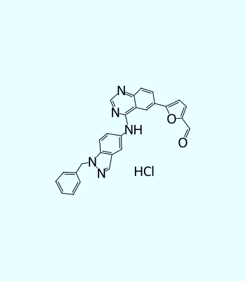 Cl.O=Cc1ccc(-c2ccc3ncnc(Nc4ccc5c(cnn5Cc5ccccc5)c4)c3c2)o1